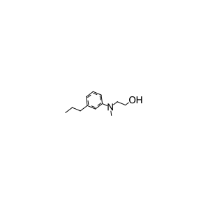 CCCc1cccc(N(C)CCO)c1